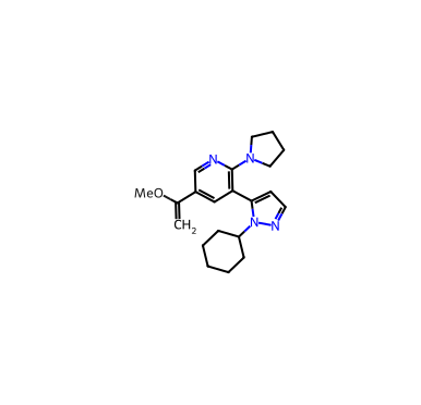 C=C(OC)c1cnc(N2CCCC2)c(-c2ccnn2C2CCCCC2)c1